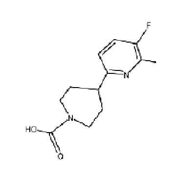 Cc1nc(C2CCN(C(=O)O)CC2)ccc1F